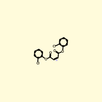 O=C(/C=C\C(=O)Oc1ccccc1Cl)Oc1ccccc1Cl